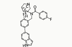 O=C(c1ccc(F)cc1)N(Cc1cc(-c2ccc3[nH]ccc3c2)ccc1F)[C@H]1CN2CCC1CC2